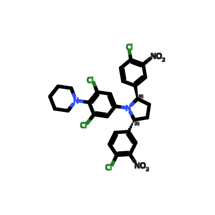 O=[N+]([O-])c1cc([C@H]2CC[C@H](c3ccc(Cl)c([N+](=O)[O-])c3)N2c2cc(Cl)c(N3CCCCC3)c(Cl)c2)ccc1Cl